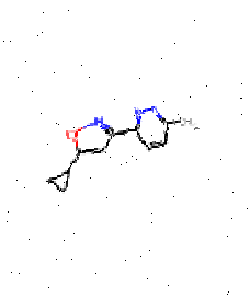 Cc1ccc(-c2[c]c(C3CC3)on2)nn1